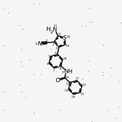 N#Cc1c(-c2cccc(NC(=O)c3ccccc3)c2)csc1N